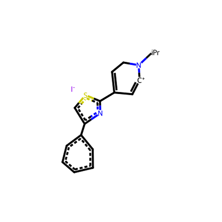 CC(C)N1[C+]=CC(c2nc(-c3ccccc3)cs2)=CC1.[I-]